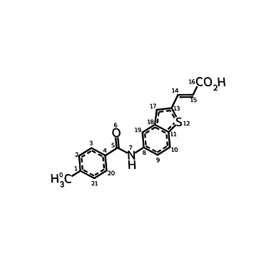 Cc1ccc(C(=O)Nc2ccc3sc(/C=C/C(=O)O)cc3c2)cc1